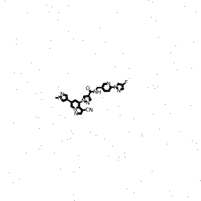 Cn1cc(-c2cc(-n3cc(C(=O)NCc4ccc(-n5cc(F)cn5)nc4)cn3)c3c(C#N)cnn3c2)cn1